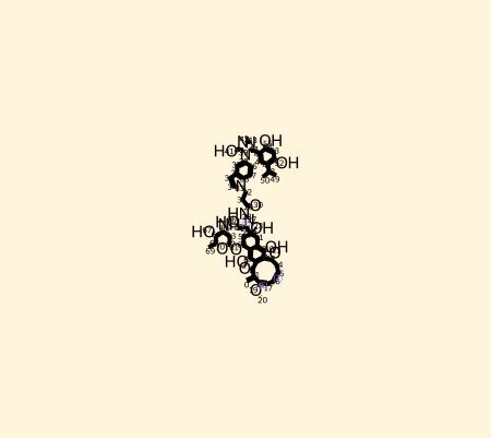 C=C1C(=O)c2c(O)c3c(c(O)c2C(=O)C/C=C\C=C/1OC)C[C@@](O)(/C(CO)=N/NC(=O)CCn1ccc2cc(-n4c(O)nnc4-c4cc(C(C)C)c(O)cc4O)ccc21)CC3OC1CC(N)C(O)C(C)O1